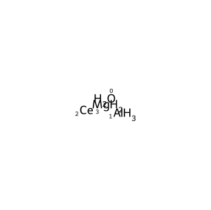 O.[AlH3].[Ce].[MgH2]